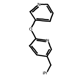 CC(C)Cc1ccc(Oc2cccnc2)nc1